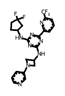 FC1(F)CCC(Nc2nc(NC3CN(c4cccnc4)C3)nc(-c3cccc(C(F)(F)F)n3)n2)C1